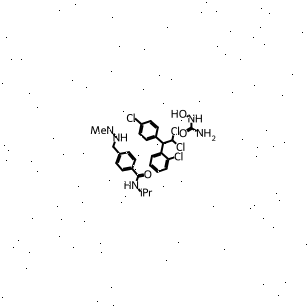 CNNCc1ccc(C(=O)NC(C)C)cc1.Clc1ccc(C(c2ccccc2Cl)C(Cl)Cl)cc1.NC(=O)NO